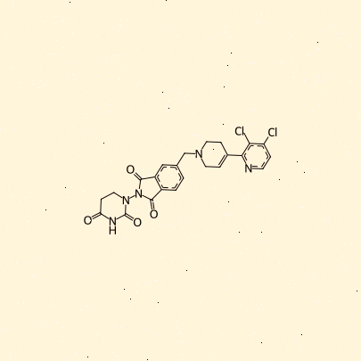 O=C1CCN(N2C(=O)c3ccc(CN4CC=C(c5nccc(Cl)c5Cl)CC4)cc3C2=O)C(=O)N1